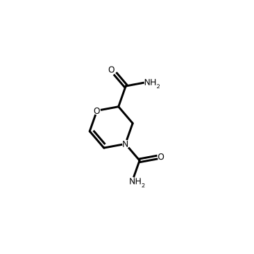 NC(=O)C1CN(C(N)=O)C=CO1